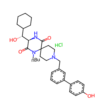 CCCCN1C(=O)[C@@H]([C@H](O)C2CCCCC2)NC(=O)C12CCN(Cc1cccc(-c3ccc(O)cc3)c1)CC2.Cl